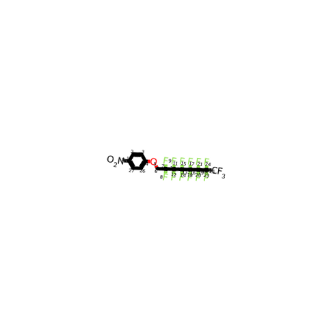 O=[N+]([O-])c1ccc(OCC(F)(F)C(F)(F)C(F)(F)C(F)(F)C(F)(F)C(F)(F)C(F)(F)F)cc1